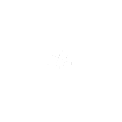 CC[Si](CC)(CC)C(C)(C(=O)O)S(=O)(=O)O.[LiH]